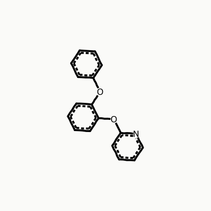 c1ccc(Oc2ccccc2Oc2ccccn2)cc1